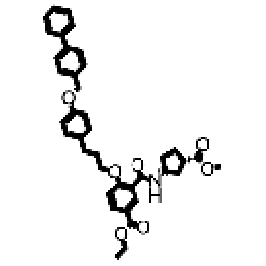 CCOC(=O)c1ccc(OCCCc2ccc(OCc3ccc(-c4ccccc4)cc3)cc2)c(C(=O)N[C@@H]2CC[C@H](C(=O)OC)C2)c1